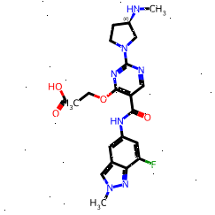 CCOc1nc(N2CC[C@@H](NC)C2)ncc1C(=O)Nc1cc(F)c2nn(C)cc2c1.O=CO